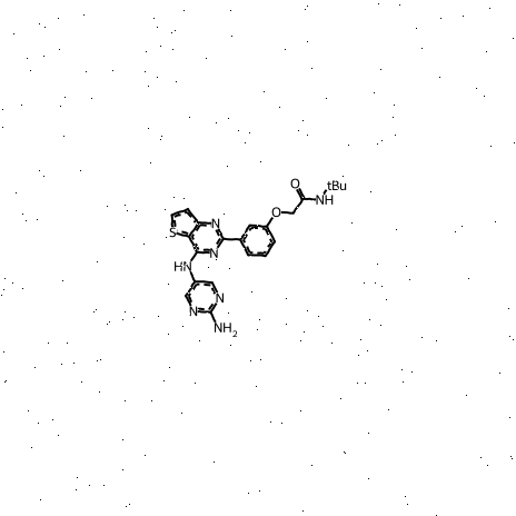 CC(C)(C)NC(=O)COc1cccc(-c2nc(Nc3cnc(N)nc3)c3sccc3n2)c1